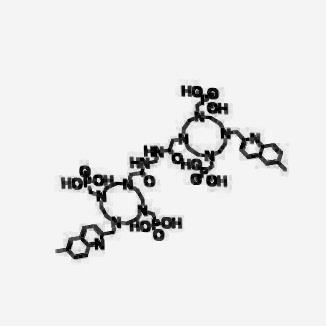 Cc1ccc2nc(CN3CCN(CP(=O)(O)O)CCN(CC(=O)NCNC(=O)CN4CCN(CP(=O)(O)O)CCN(Cc5ccc6cc(C)ccc6n5)CCN(CP(=O)(O)O)CC4)CCN(CP(=O)(O)O)CC3)ccc2c1